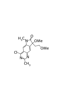 COCCC1(OC)C(=O)N(C)c2cc3c(Cl)nc(C)nc3cc21